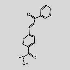 O=C(/C=C/c1ccc(C(=O)NO)cc1)c1ccccc1